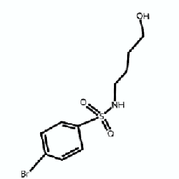 O=S(=O)(NCCCCO)c1ccc(Br)cc1